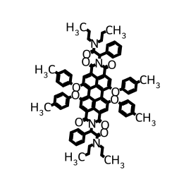 CCCN(CCC)C(=O)C(c1ccccc1)N1C(=O)c2cc(Oc3ccc(C)cc3)c3c4c(Oc5ccc(C)cc5)cc5c6c(cc(Oc7ccc(C)cc7)c(c7c(Oc8ccc(C)cc8)cc(c2c37)C1=O)c64)C(=O)N(C(C(=O)N(CCC)CCC)c1ccccc1)C5=O